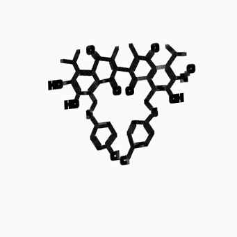 CC1=C(C2=C(C)C(=O)c3c(c(CSc4ccc(Cl)cc4)c(O)c(N=O)c3C(C)C)C2=O)C(=O)c2c(CSc3ccc(Cl)cc3)c(O)c(O)c(C(C)C)c2C1=O